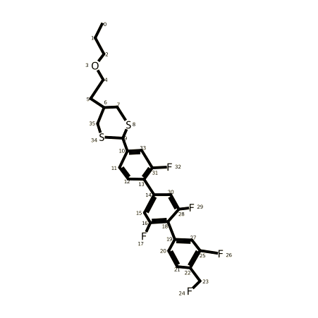 CCCOCCC1CSC(c2ccc(-c3cc(F)c(-c4ccc(CF)c(F)c4)c(F)c3)c(F)c2)SC1